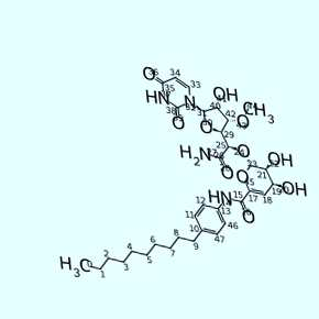 CCCCCCCCCCc1ccc(NC(=O)C2=C[C@H](O)[C@H](O)[C@@H](O[C@@H](C(N)=O)[C@H]3O[C@@H](n4ccc(=O)[nH]c4=O)[C@H](O)[C@@H]3OC)O2)cc1